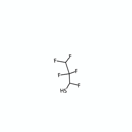 FC(F)C(F)(F)C(F)S